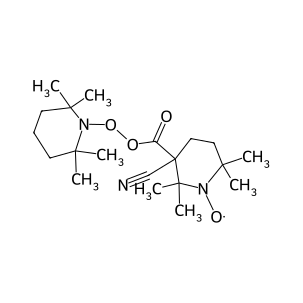 CC1(C)CCCC(C)(C)N1OOC(=O)C1(C#N)CCC(C)(C)N([O])C1(C)C